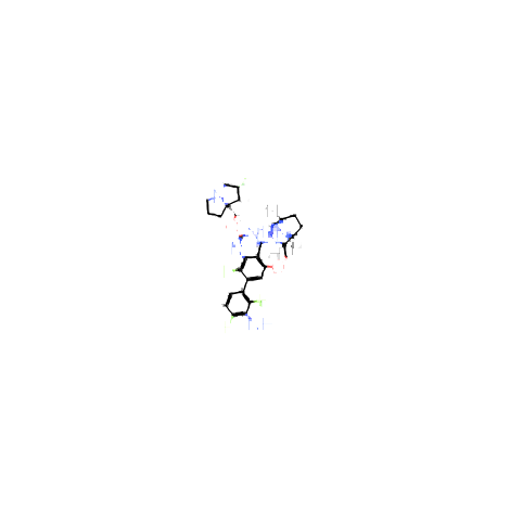 Nc1c(F)ccc(-c2cc3c4c(nc(OC[C@@]56CCCN5C[C@H](F)C6)nc4c2F)N2C[C@@H]4CC[C@@H](N4)[C@H]2CO3)c1F